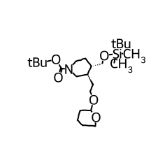 CC(C)(C)OC(=O)N1CC[C@H](CO[Si](C)(C)C(C)(C)C)[C@@H](CCOC2CCCCO2)C1